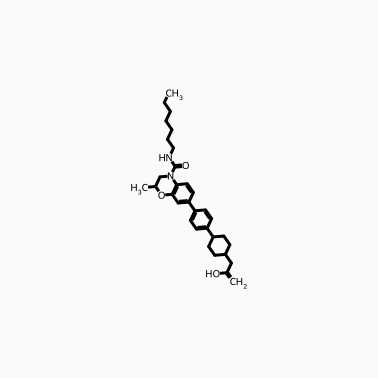 C=C(O)CC1CCC(c2ccc(-c3ccc4c(c3)OC(C)CN4C(=O)NCCCCCCC)cc2)CC1